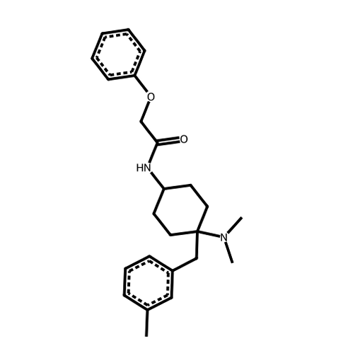 Cc1cccc(CC2(N(C)C)CCC(NC(=O)COc3ccccc3)CC2)c1